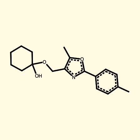 Cc1ccc(-c2nc(COC3(O)CCCCC3)c(C)o2)cc1